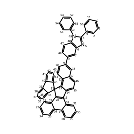 c1ccc(-c2nc3cc(-c4ccc5c6c(ccc5c4)-c4c(c5ccccc5c5ccccc45)C64c5ccccc5-c5ccccc54)ccc3n2-c2ccccc2)cc1